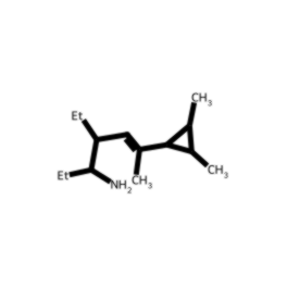 CCC(N)C(/C=C(\C)C1C(C)C1C)CC